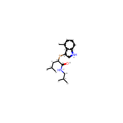 Cc1cccc2[nH]cc(SC(CC(C)C)C(=O)NCC(C)C)c12